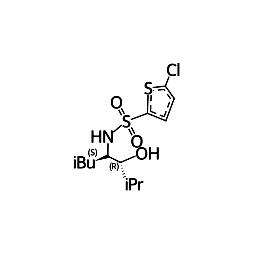 CC[C@H](C)C(NS(=O)(=O)c1ccc(Cl)s1)[C@H](O)C(C)C